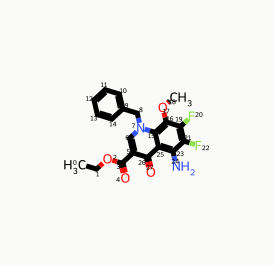 CCOC(=O)c1cn(Cc2ccccc2)c2c(OC)c(F)c(F)c(N)c2c1=O